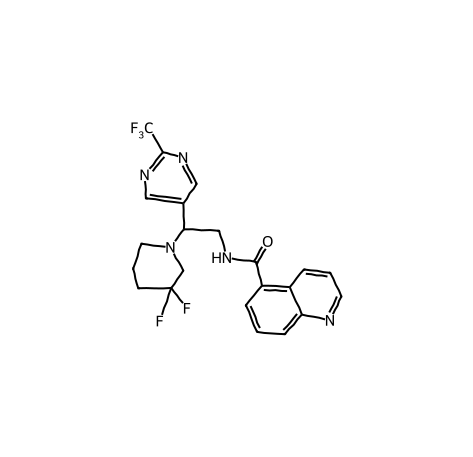 O=C(NCC(c1cnc(C(F)(F)F)nc1)N1CCCC(F)(F)C1)c1cccc2ncccc12